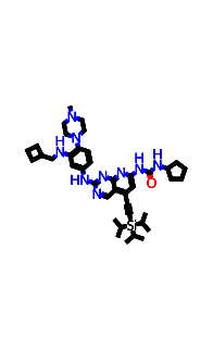 CC(C)[Si](C#Cc1cc(NC(=O)NC2CCCC2)nc2nc(Nc3ccc(N4CCN(C)CC4)c(NCC4CCC4)c3)ncc12)(C(C)C)C(C)C